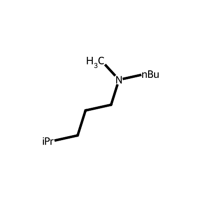 CCCCN(C)CCCC(C)C